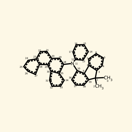 CC1(C)c2ccccc2-c2c(N(c3ccccc3)c3cc4ccc5ccccc5c4c4ccccc34)cccc21